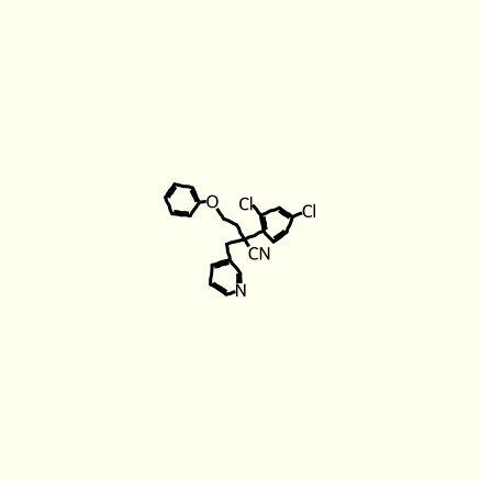 N#CC(CCOc1ccccc1)(Cc1cccnc1)c1ccc(Cl)cc1Cl